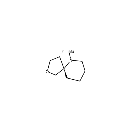 CCC(C)N1CCCC[C@]12COC[C@@H]2C